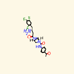 CC(=O)c1ccc(NC(=O)N2C[C@@H]3C[C@H]2CN3C(=O)C[C@H](N)Cc2cc(F)c(F)cc2F)cc1